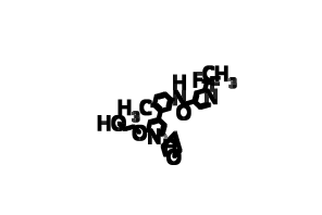 Cc1ccc(NC(=O)c2ccnc(C(C)(F)F)c2)cc1-c1cc(OCCO)nc([C@@]23CCOC[C@@H]2C3)c1